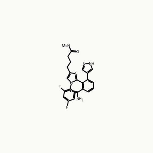 CNC(=O)CCCc1cn(-c2ccc(F)cc2F)c(-c2c(C(N)=O)cccc2-c2cn[nH]c2)n1